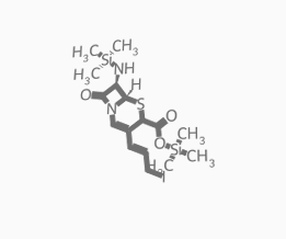 C[Si](C)(C)N[C@@H]1C(=O)N2C=C(/C=C/CI)C(C(=O)O[Si](C)(C)C)S[C@H]12